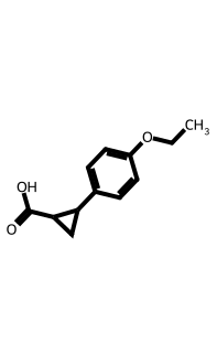 CCOc1ccc(C2CC2C(=O)O)cc1